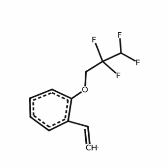 [CH]=Cc1ccccc1OCC(F)(F)C(F)F